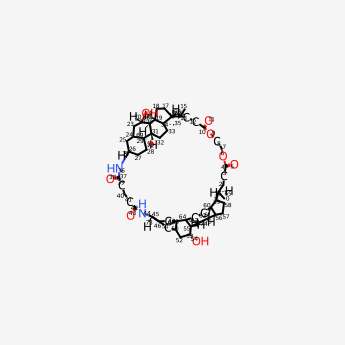 C[C@@H]1CCC(=O)OCCOC(=O)CC[C@@H](C)[C@H]2CC[C@H]3[C@@H]4[C@@H](O)CC5C[C@@H](CC[C@]5(C)[C@H]4CC[C@]23C)NC(=O)CCCC(=O)N[C@@H]2CC[C@@]3(C)C(C2)C[C@H](O)[C@H]2[C@H]4CC[C@H]1[C@@]4(C)CC[C@@H]23